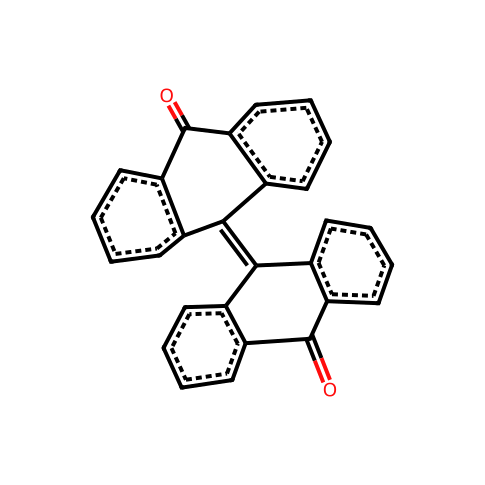 O=C1c2ccccc2C(=C2c3ccccc3C(=O)c3ccccc32)c2ccccc21